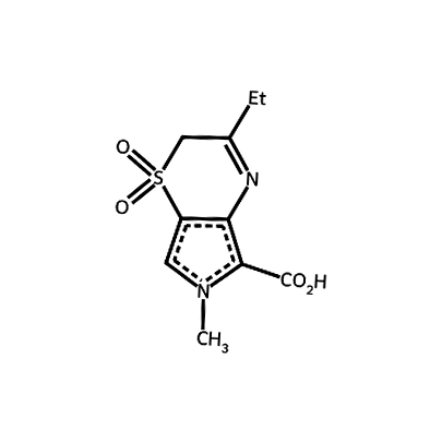 CCC1=Nc2c(cn(C)c2C(=O)O)S(=O)(=O)C1